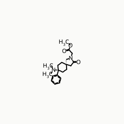 COC(=O)CN1C[C@]2(CC[C@](c3ccccc3)(N(C)C)CC2)CC1=O